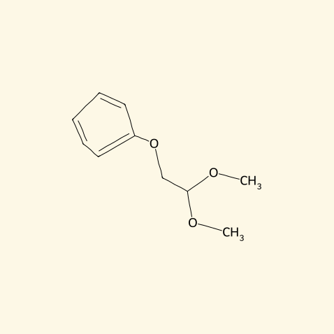 COC(COc1ccccc1)OC